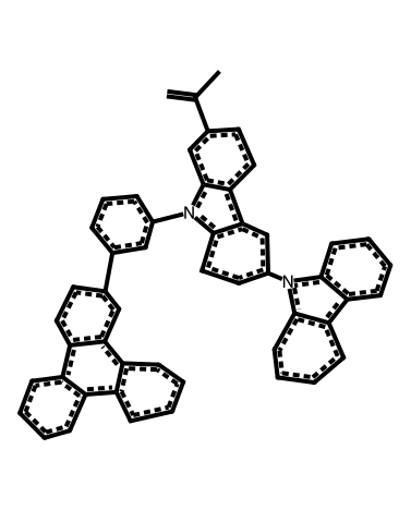 C=C(C)c1ccc2c3cc(-n4c5ccccc5c5ccccc54)ccc3n(-c3cccc(-c4ccc5c6ccccc6c6ccccc6c5c4)c3)c2c1